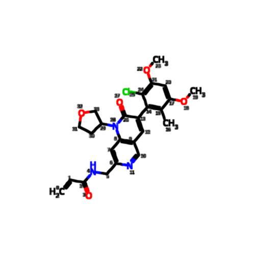 C=CC(=O)NCc1cc2c(cn1)cc(-c1c(C)c(OC)cc(OC)c1Cl)c(=O)n2C1CCOC1